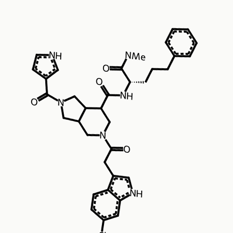 CNC(=O)[C@H](CCCc1ccccc1)NC(=O)C1CN(C(=O)Cc2c[nH]c3cc(Cl)ccc23)CC2CN(C(=O)c3cc[nH]c3)CC21